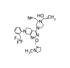 C=CC(O)N1CCN(c2nc(OC[C@@H]3CCCN3C)nc3c2CCN(c2ccccc2CC(F)(F)F)C3)CC1CC#N